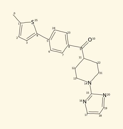 Cc1ccc(-c2ccc(C(=O)C3CCN(c4ncccn4)CC3)cc2)s1